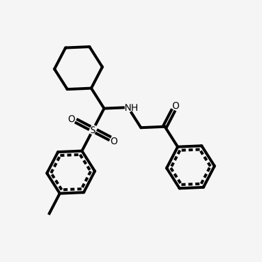 Cc1ccc(S(=O)(=O)C(NCC(=O)c2ccccc2)C2CCCCC2)cc1